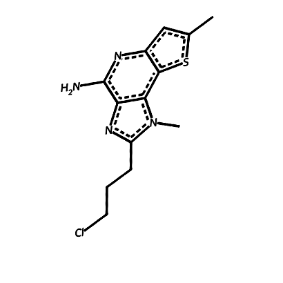 Cc1cc2nc(N)c3nc(CCCCl)n(C)c3c2s1